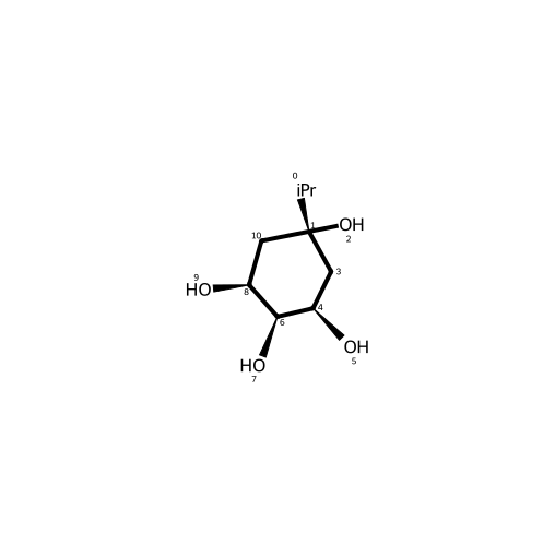 CC(C)[C@@]1(O)C[C@@H](O)[C@@H](O)[C@@H](O)C1